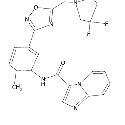 Cc1ccc(-c2noc(CN3CCC(F)(F)C3)n2)cc1NC(=O)c1cnc2ccccn12